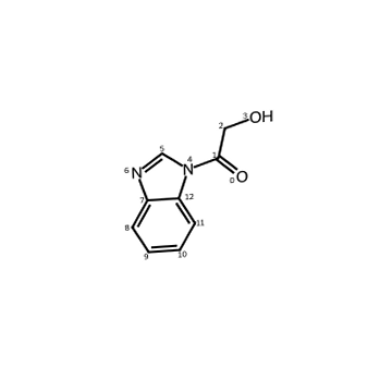 O=C(CO)n1cnc2ccccc21